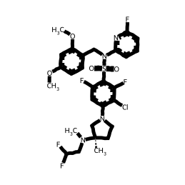 COc1ccc(CN(c2cccc(F)n2)S(=O)(=O)c2c(F)cc(N3CC[C@@](C)(N(C)CC(F)F)C3)c(Cl)c2F)c(OC)c1